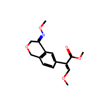 CO/C=C(/C(=O)OC)c1ccc2c(c1)/C(=N/OC)COC2